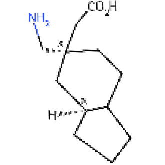 NC[C@]1(CC(=O)O)CCC2CCC[C@H]2C1